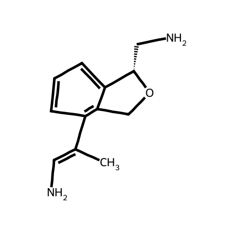 C/C(=C\N)c1cccc2c1CO[C@H]2CN